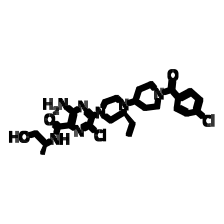 CC[C@H]1CN(c2nc(N)c(C(=O)N[C@@H](C)CO)nc2Cl)CCN1C1CCN(C(=O)c2ccc(Cl)cc2)CC1